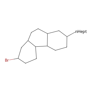 CCCCCCCC1CCC2C(CCC3CC(Br)CCC32)C1